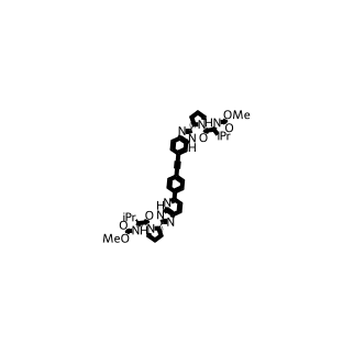 COC(=O)NC(C(=O)N1CCC[C@H]1c1nc2ccc(C#Cc3ccc(-c4ccc5nc([C@@H]6CCCN6C(=O)[C@@H](NC(=O)OC)C(C)C)[nH]c5n4)cc3)cc2[nH]1)C(C)C